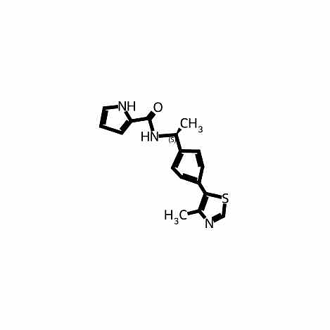 Cc1ncsc1-c1ccc([C@H](C)NC(=O)c2ccc[nH]2)cc1